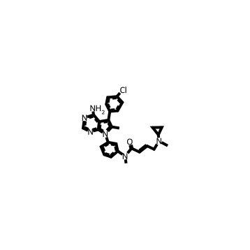 Cc1c(-c2ccc(Cl)cc2)c2c(N)ncnc2n1-c1cccc(N(C)C(=O)/C=C/CN(C)C2CC2)c1